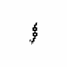 CCCc1ccc([C@H]2CC[C@H](C=CCC(F)F)CC2)cc1